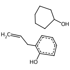 C=CCc1ccccc1O.OC1CCCCC1